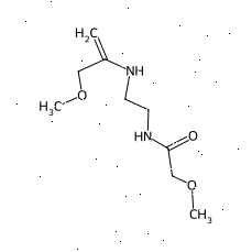 C=C(COC)NCCNC(=O)COC